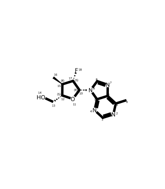 Cc1ncnc2c1ncn2[C@@H]1O[C@H](CO)[C@@H](C)[C@@H]1F